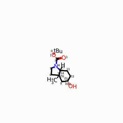 CC(C)(C)OC(=O)N1CC[C@@]2(C)C[C@@H](O)CC[C@@H]12